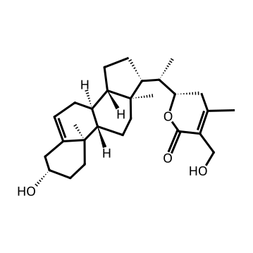 CC1=C(CO)C(=O)O[C@H]([C@@H](C)[C@H]2CC[C@H]3[C@@H]4CC=C5C[C@@H](O)CC[C@]5(C)[C@H]4CC[C@]23C)C1